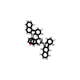 c1ccc(-n2c3ccc4ccccc4c3c3cccc(-c4nc(-n5c6ccccc6c6cc7ccccc7cc65)nc5ccccc45)c32)cc1